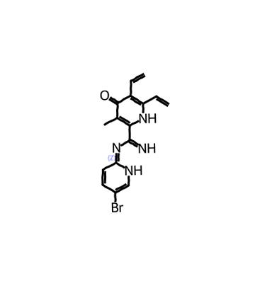 C=Cc1[nH]c(C(=N)/N=c2/ccc(Br)c[nH]2)c(C)c(=O)c1C=C